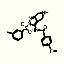 COc1ccc(C(=O)Nc2c3c(nn2S(=O)(=O)c2cccc(C)c2)CNC3)cc1